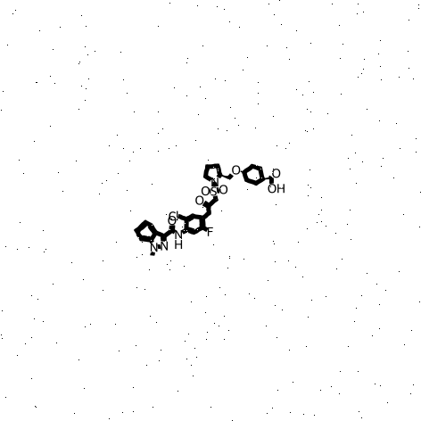 Cn1nc(C(=O)Nc2cc(F)c(CC(=O)CS(=O)(=O)N3CCC[C@H]3CO[C@H]3CC[C@H](C(=O)O)CC3)cc2Cl)c2ccccc21